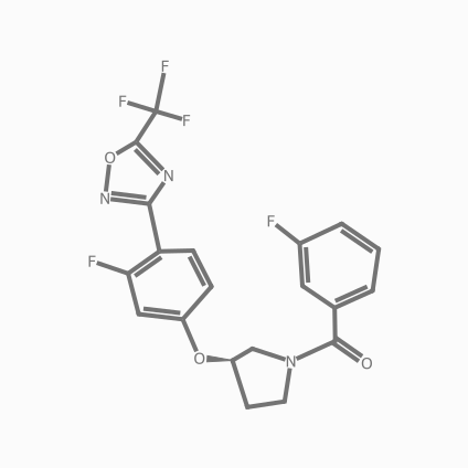 O=C(c1cccc(F)c1)N1CC[C@@H](Oc2ccc(-c3noc(C(F)(F)F)n3)c(F)c2)C1